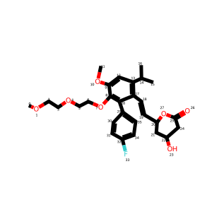 COCCOCCOc1c(OC)cc(C(C)C)c(C=CC2CC(O)CC(=O)O2)c1-c1ccc(F)cc1